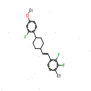 CCOc1ccc(C2CCC(/C=C/c3ccc(CC)c(F)c3F)CC2)c(F)c1